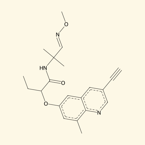 C#Cc1cnc2c(C)cc(OC(CC)C(=O)NC(C)(C)/C=N/OC)cc2c1